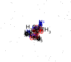 CC(=O)OC1O[C@H](COP(=O)(N[C@@H](C)C(=O)OCc2ccnc3ccccc23)Oc2ccccc2)[C@@H](OC(C)=O)[C@H](OC(C)=O)[C@@H]1NC(=O)CN=[N+]=[N-]